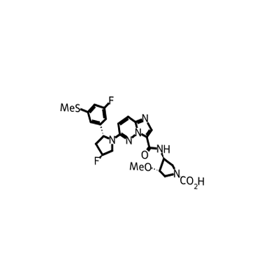 CO[C@H]1CN(C(=O)O)C[C@@H]1NC(=O)c1cnc2ccc(N3C[C@@H](F)C[C@@H]3c3cc(F)cc(SC)c3)nn12